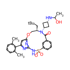 Cc1cccc(C)c1-c1cc2nc(n1)NS(=O)(=O)c1cccc(c1)C(=O)N([C@H]1C[C@@H](NC(C)O)C1)[C@H](CC(C)(C)C)CO2